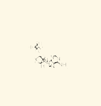 C[C@H]1[C@H]2OC[C@@]1(COP(=O)(O)S)O[C@H]2n1cnc2c(N)ncnc21